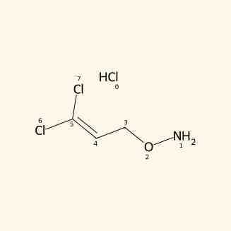 Cl.NOCC=C(Cl)Cl